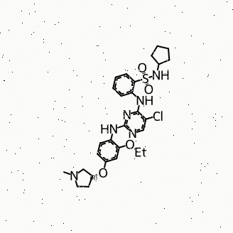 CCOc1cc(O[C@@H]2CCN(C)C2)ccc1Nc1ncc(Cl)c(Nc2ccccc2S(=O)(=O)NC2CCCC2)n1